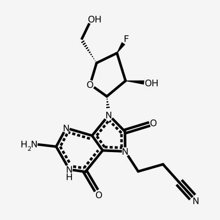 N#CCCn1c(=O)n([C@@H]2O[C@H](CO)[C@@H](F)[C@H]2O)c2nc(N)[nH]c(=O)c21